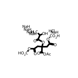 CC(=O)OC(=O)C(CC(=O)OC(=O)O)(CC(=O)OC(=O)O)OC(=O)C(C)O.Cl.[NaH].[NaH].[NaH].[NaH].[NaH]